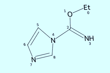 CCOC(=N)n1ccnc1